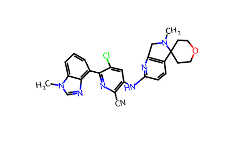 CN1Cc2nc(Nc3cc(Cl)c(-c4cccc5c4ncn5C)nc3C#N)ccc2C12CCOCC2